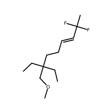 CCC(CC)(CC/C=C/C(C)(F)F)COC